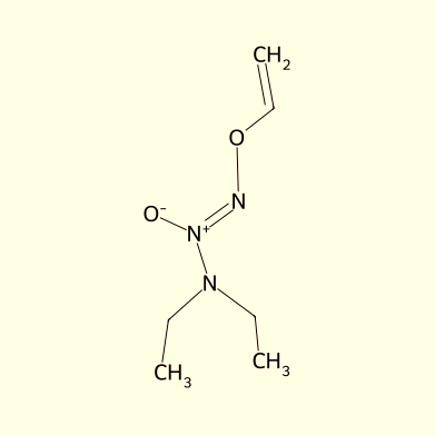 C=CON=[N+]([O-])N(CC)CC